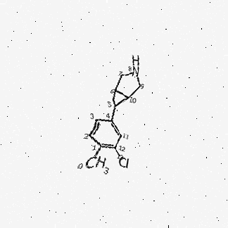 Cc1ccc(C2C3CNCC32)cc1Cl